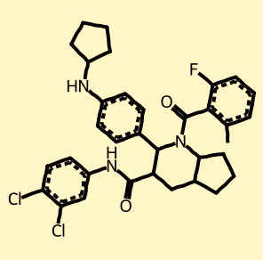 Cc1cccc(F)c1C(=O)N1C2CCCC2CC(C(=O)Nc2ccc(Cl)c(Cl)c2)C1c1ccc(NC2CCCC2)cc1